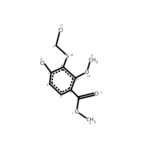 COC(=O)c1ccc(Cl)c(SCCl)c1OC